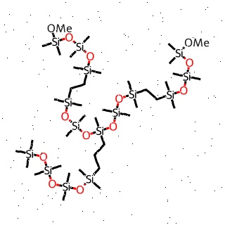 CO[Si](C)(C)O[Si](C)(C)O[Si](C)(C)CC[Si](C)(C)O[Si](C)(C)O[Si](C)(CCC[Si](C)(C)O[Si](C)(C)O[Si](C)(C)O[Si](C)(C)C)O[Si](C)(C)O[Si](C)(C)CC[Si](C)(C)O[Si](C)(C)O[Si](C)(C)OC